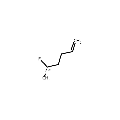 C=CCC[C@H](C)F